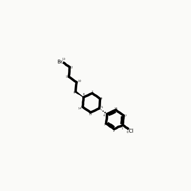 Clc1ccc([C@H]2CC[C@H](CCCCBr)CC2)cc1